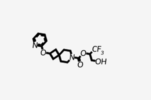 O=C(OC(CO)C(F)(F)F)N1CCC2(CC1)CC(Oc1ccccn1)C2